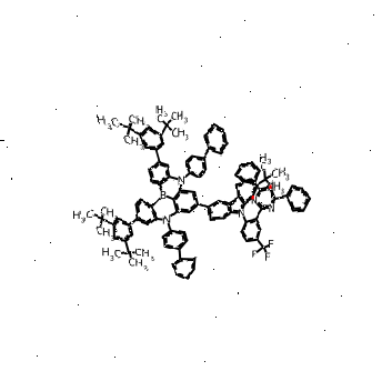 CC(C)(C)c1cc(-c2ccc3c(c2)N(c2ccc(-c4ccccc4)cc2)c2cc(-c4ccc5c(c4)c4ccc(C(C)(C)C)cc4n5-c4ccc(C(F)(F)F)cc4-c4nc(-c5ccccc5)nc(-c5ccccc5)n4)cc4c2B3c2ccc(-c3cc(C(C)(C)C)cc(C(C)(C)C)c3)cc2N4c2ccc(-c3ccccc3)cc2)cc(C(C)(C)C)c1